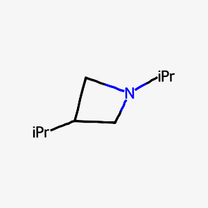 CC(C)C1CN(C(C)C)C1